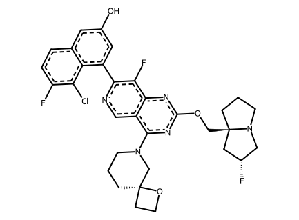 Oc1cc(-c2ncc3c(N4CCC[C@]5(CCO5)C4)nc(OC[C@@]45CCCN4C[C@H](F)C5)nc3c2F)c2c(Cl)c(F)ccc2c1